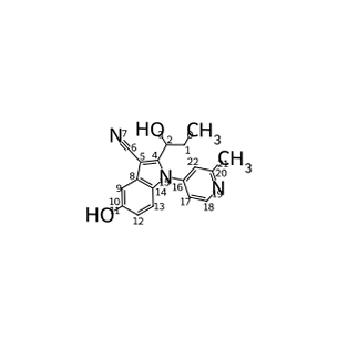 CCC(O)c1c(C#N)c2cc(O)ccc2n1-c1ccnc(C)c1